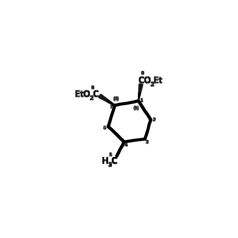 CCOC(=O)[C@H]1CCC(C)C[C@H]1C(=O)OCC